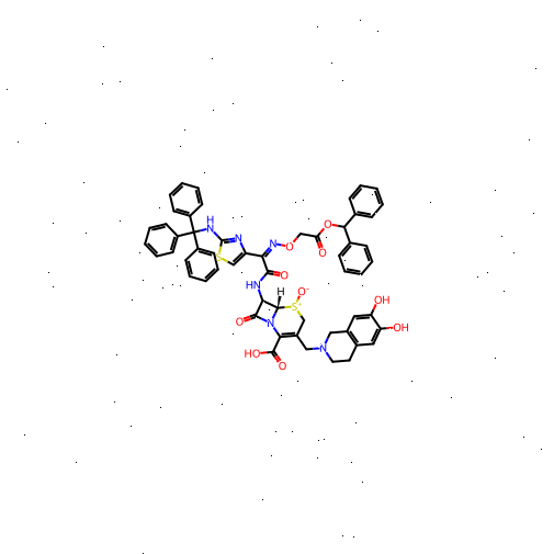 O=C(CO/N=C(\C(=O)NC1C(=O)N2C(C(=O)O)=C(CN3CCc4cc(O)c(O)cc4C3)C[S+]([O-])[C@@H]12)c1csc(NC(c2ccccc2)(c2ccccc2)c2ccccc2)n1)OC(c1ccccc1)c1ccccc1